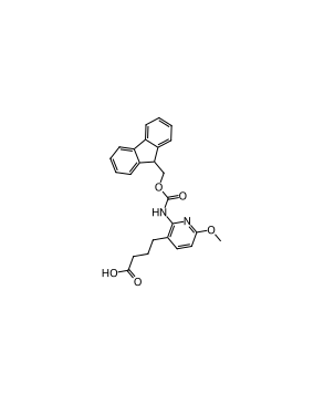 COc1ccc(CCCC(=O)O)c(NC(=O)OCC2c3ccccc3-c3ccccc32)n1